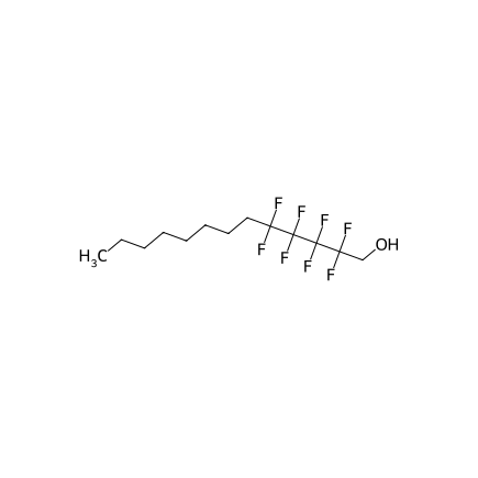 CCCCCCCCC(F)(F)C(F)(F)C(F)(F)C(F)(F)CO